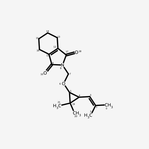 CC(C)=CC1C(OCN2C(=O)C3=C(CCCC3)C2=O)C1(C)C